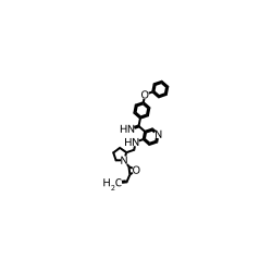 C=CC1OC1N1CCCC1CNc1ccncc1C(=N)c1ccc(Oc2ccccc2)cc1